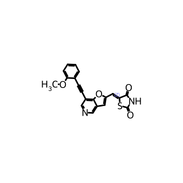 COc1ccccc1C#Cc1cncc2cc(/C=C3\SC(=O)NC3=O)oc12